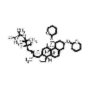 CCOC(C)OC(C)(C)C(F)(F)CC[C@@H](C)[C@H]1CC[C@H]2[C@@H]3CC=C4C[C@@H](OC5CCCCO5)C[C@H](OC5CCCCO5)[C@]4(C)[C@H]3CC[C@]12C